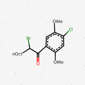 CCCCCCCCC(Br)C(=O)c1cc(OC)c(Cl)cc1OC